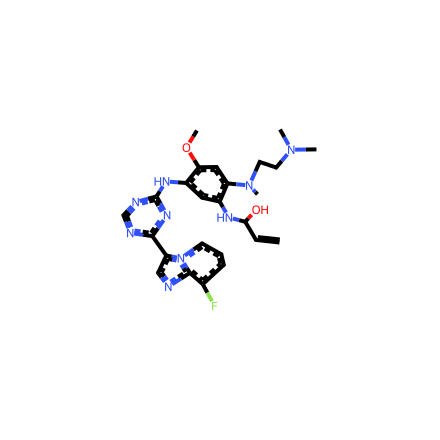 C=CC(O)Nc1cc(Nc2ncnc(-c3cnc4c(F)cccn34)n2)c(OC)cc1N(C)CCN(C)C